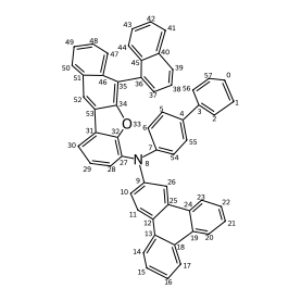 c1ccc(-c2ccc(N(c3ccc4c5ccccc5c5ccccc5c4c3)c3cccc4c3oc3c(-c5cccc6ccccc56)c5ccccc5cc34)cc2)cc1